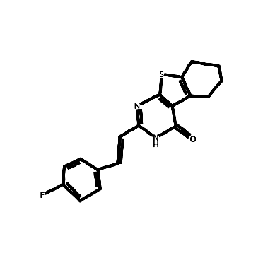 O=c1[nH]c(/C=C/c2ccc(F)cc2)nc2sc3c(c12)CCCC3